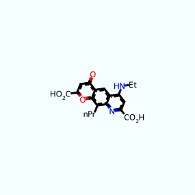 CCCc1c2nc(C(=O)O)cc(NCC)c2cc2c(=O)cc(C(=O)O)oc12